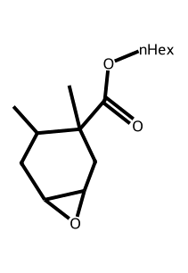 CCCCCCOC(=O)C1(C)CC2OC2CC1C